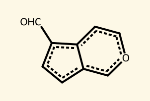 O=Cc1ccc2coccc1-2